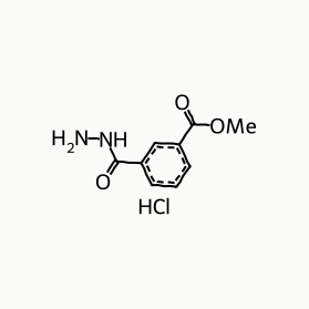 COC(=O)c1cccc(C(=O)NN)c1.Cl